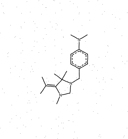 CC(C)=C1N(C)CN(Cc2ccc(N(C)C)cc2)C1(C)C